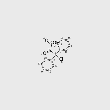 O=C(O)C(=O)C(Cl)(c1ccccc1)c1ccccc1